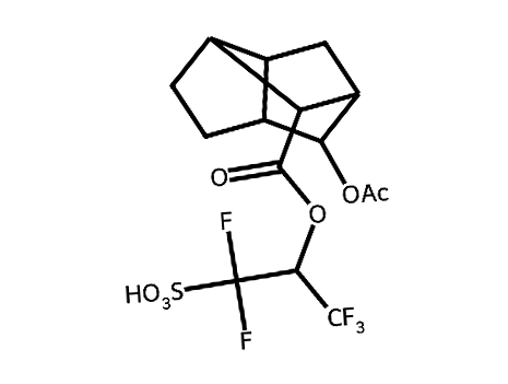 CC(=O)OC1C2CCC3C2CC1C3C(=O)OC(C(F)(F)F)C(F)(F)S(=O)(=O)O